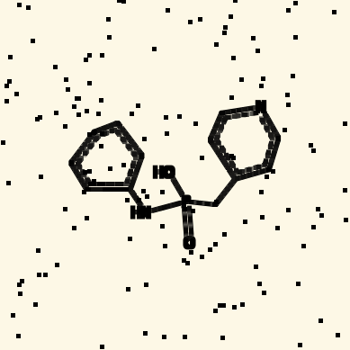 O=P(O)(Cc1ccncc1)Nc1ccccc1